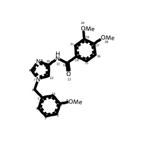 COc1cccc(Cn2cnc(NC(=O)c3ccc(OC)c(OC)c3)c2)c1